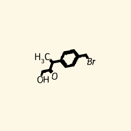 CC(C(=O)CO)c1ccc(CBr)cc1